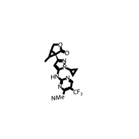 CNc1nc(Nc2cc([C@]34C(=O)OCC3C4C)nn2C2CC2)ncc1C(F)(F)F